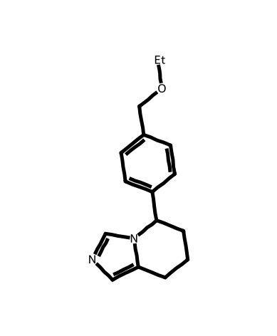 CCOCc1ccc(C2CCCc3cncn32)cc1